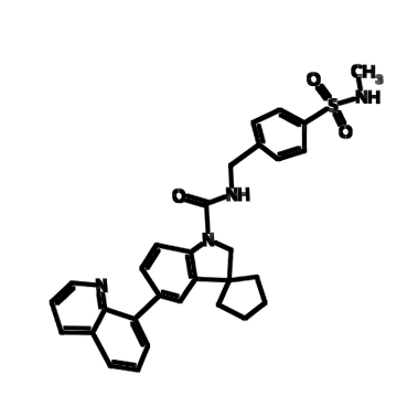 CNS(=O)(=O)c1ccc(CNC(=O)N2CC3(CCCC3)c3cc(-c4cccc5cccnc45)ccc32)cc1